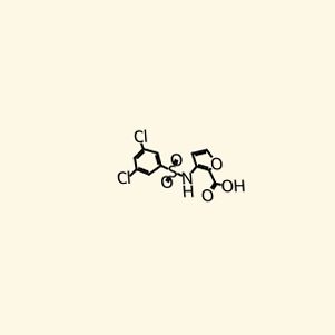 O=C(O)c1occc1NS(=O)(=O)c1cc(Cl)cc(Cl)c1